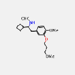 COCCCOc1cc(CC(NC=O)C2CCC2)ccc1OC